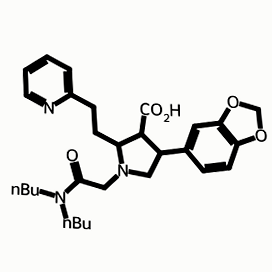 CCCCN(CCCC)C(=O)CN1CC(c2ccc3c(c2)OCO3)C(C(=O)O)C1CCc1ccccn1